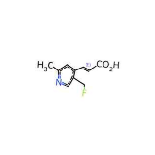 Cc1cc(/C=C/C(=O)O)c(CF)cn1